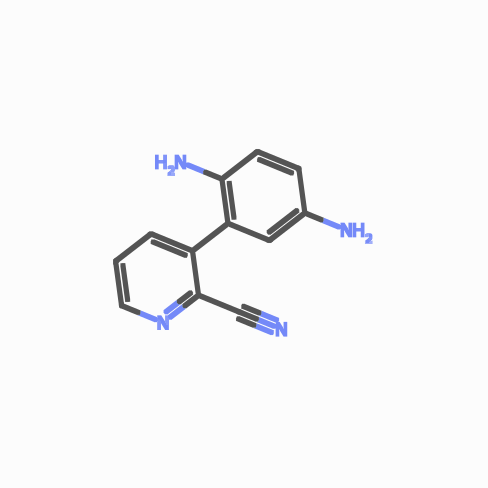 N#Cc1ncccc1-c1cc(N)ccc1N